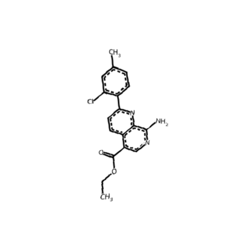 CCOC(=O)c1cnc(N)c2nc(-c3ccc(C)cc3Cl)ccc12